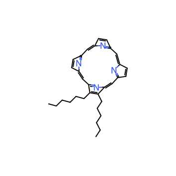 CCCCCCC1=C(CCCCCC)C2=NC1=CC1=NC(=CC3=NC(=CC4=NC(=C2)C=C4)C=C3)C=C1